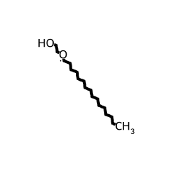 CCCCCCCCCCCCCCC[CH]OCCO